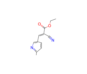 CCOC(=O)/C(C#N)=C/c1ccc(C)nc1